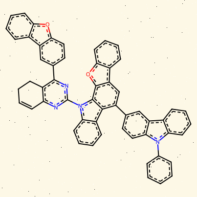 C1=Cc2nc(-n3c4ccccc4c4c(-c5ccc6c(c5)c5ccccc5n6-c5ccccc5)cc5c6ccccc6oc5c43)nc(-c3ccc4oc5ccccc5c4c3)c2CC1